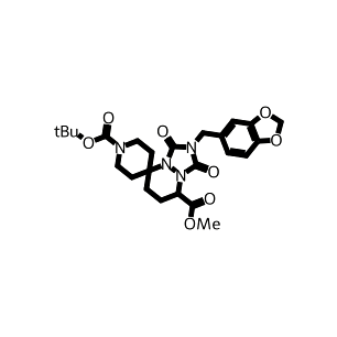 COC(=O)C1CCC2(CCN(C(=O)OC(C)(C)C)CC2)n2c(=O)n(Cc3ccc4c(c3)OCO4)c(=O)n21